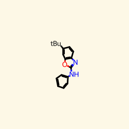 CC(C)(C)c1ccc2nc(Nc3ccccc3)oc2c1